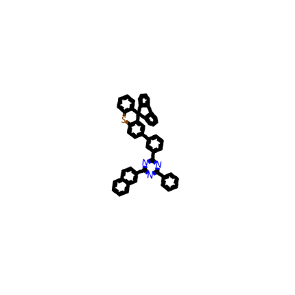 c1ccc(-c2nc(-c3cccc(-c4ccc5c(c4)C4(c6ccccc6S5)c5ccccc5-c5ccccc54)c3)nc(-c3ccc4ccccc4c3)n2)cc1